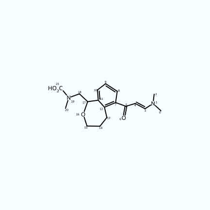 CN(C)/C=C/C(=O)c1cccc2c1CCCOC2CN(C)C(=O)O